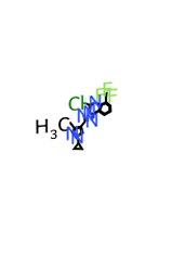 CCc1nn(C2CC2)cc1-c1nc2c3cccc(C(F)(F)F)c3nc(Cl)n2n1